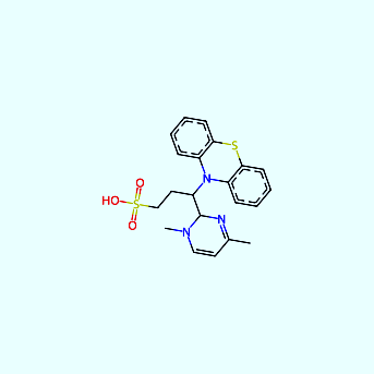 CC1=NC(C(CCS(=O)(=O)O)N2c3ccccc3Sc3ccccc32)N(C)C=C1